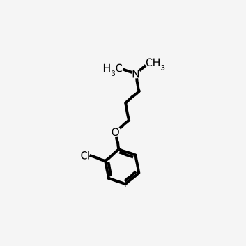 CN(C)CCCOc1cc[c]cc1Cl